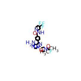 CC(C)(F)C(=O)N1CCO[C@H](c2nc(-c3ccc(C(=O)Nc4cc(C(F)(F)F)ccn4)cc3)c3c(N)nccn23)C1